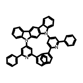 c1ccc(-c2cc(-n3c4ccccc4c4cc5c6ccccc6n(-c6cc(-c7ccccc7)nc(-c7ccccc7)c6)c5cc43)cc(-c3ccccc3)n2)cc1